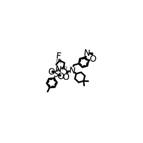 Cc1ccc(S(=O)(=O)N2C[C@@H](F)C[C@H]2C(=O)N(Cc2ccc3ocnc3c2)C2CCC(C)(C)CC2)cc1